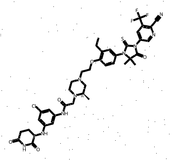 CCc1cc(N2C(=S)N(c3cnc(C#N)c(C(F)(F)F)c3)C(=O)C2(C)C)ccc1OCCN1CCN(CC(=O)Nc2cc(Cl)cc(NC3CCC(=O)NC3=O)c2)[C@H](C)C1